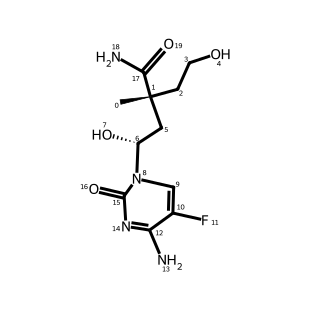 C[C@@](CCO)(C[C@@H](O)n1cc(F)c(N)nc1=O)C(N)=O